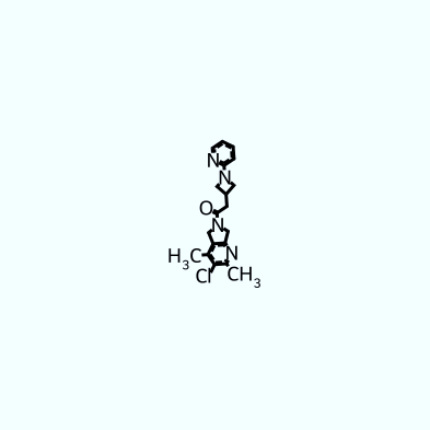 Cc1nc2c(c(C)c1Cl)CN(C(=O)CC1CN(c3ccccn3)C1)C2